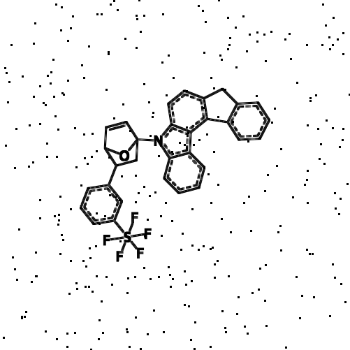 FS(F)(F)(F)(F)c1cccc(C2CC3(n4c5ccccc5c5c6c(ccc54)Cc4ccccc4-6)C=CC2O3)c1